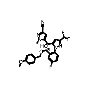 COc1ccc(CO[C@H](C)c2cc(F)ccc2-n2nc(C(F)F)cc2C(O)c2cc(C#N)nn2C)cc1